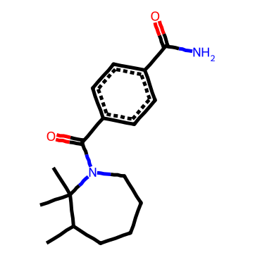 CC1CCCCN(C(=O)c2ccc(C(N)=O)cc2)C1(C)C